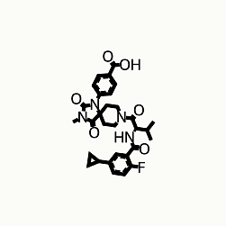 CC(C)[C@@H](NC(=O)c1cc(C2CC2)ccc1F)C(=O)N1CCC2(CC1)C(=O)N(C)C(=O)N2c1ccc(C(=O)O)cc1